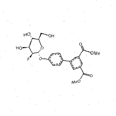 COC(=O)c1cc(C(=O)OC)cc(-c2ccc(O[C@H]3O[C@H](CO)[C@@H](O)[C@H](O)[C@@H]3F)cc2)c1